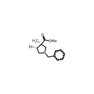 CC[C@H]1CN(Cc2ccccc2)C[C@]1(C)C(=O)OC